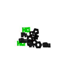 Cl.Cl.[CH2]=[Zr]([C]1=CC=CC1)([c]1cc(C(C)C)cc(C(C)C)c1)([CH]1CCC1)[CH]1c2cc(C(C)(C)C)ccc2-c2ccc(C(C)(C)C)cc21